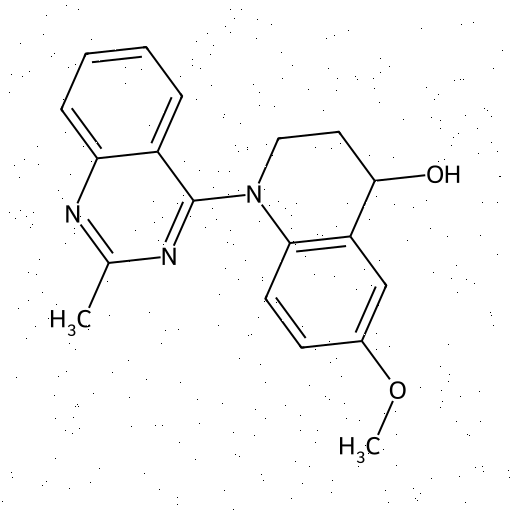 COc1ccc2c(c1)C(O)CCN2c1nc(C)nc2ccccc12